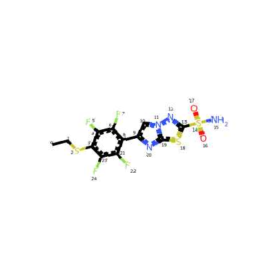 CCSc1c(F)c(F)c(-c2cn3nc(S(N)(=O)=O)sc3n2)c(F)c1F